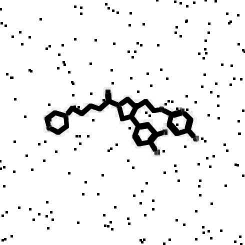 O=C(CCCCN1CCOCC1)N1CC(CCOc2ccc(Cl)cn2)C(c2ccc(Cl)c(Cl)c2)C1